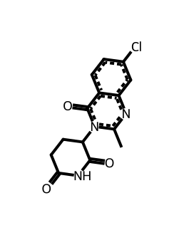 Cc1nc2cc(Cl)ccc2c(=O)n1C1CCC(=O)NC1=O